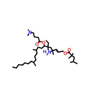 CCCCCCCC(C)CCCC(C)CCC(OC(=O)CCCN(C)C)C(C)(CC)CC(C)(N)/C=C/COC(=O)C(C)(C)CC(C)C